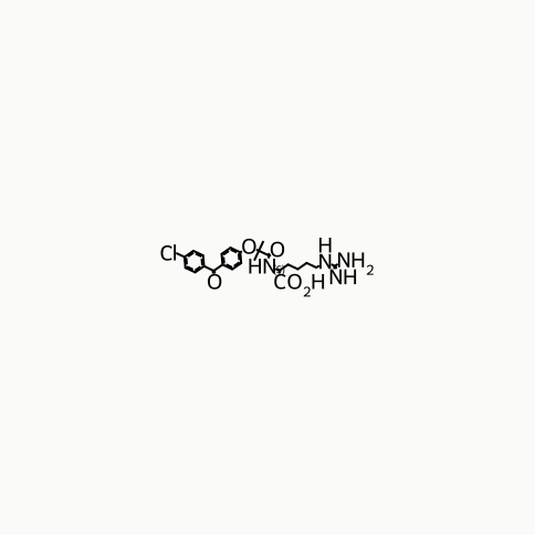 CC(C)(Oc1ccc(C(=O)c2ccc(Cl)cc2)cc1)C(=O)N[C@@H](CCCCNC(=N)N)C(=O)O